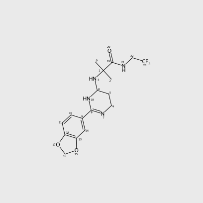 CC(C)(NC1CCN=C(c2ccc3c(c2)OCO3)N1)C(=O)NCC(F)(F)F